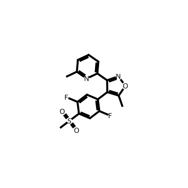 Cc1cccc(-c2noc(C)c2-c2cc(F)c(S(C)(=O)=O)cc2F)n1